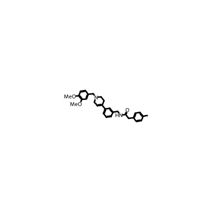 COc1ccc(CN2CC=C(c3cccc(CNC(=O)Cc4ccc(C)cc4)c3)CC2)cc1OC